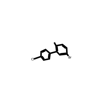 Cc1ccc(Br)cc1-c1ccc(Cl)cc1